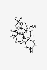 C[S+]([O-])C1(C(=O)OC(C)(C)C)C=CC2(CCNCC2)C2=C1n1cccc1CO2